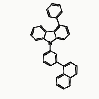 c1ccc(-c2cccc3c2c2ccccc2n3-c2cccc(-c3cccc4ccccc34)c2)cc1